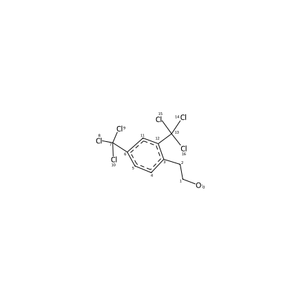 [O]CCc1ccc(C(Cl)(Cl)Cl)cc1C(Cl)(Cl)Cl